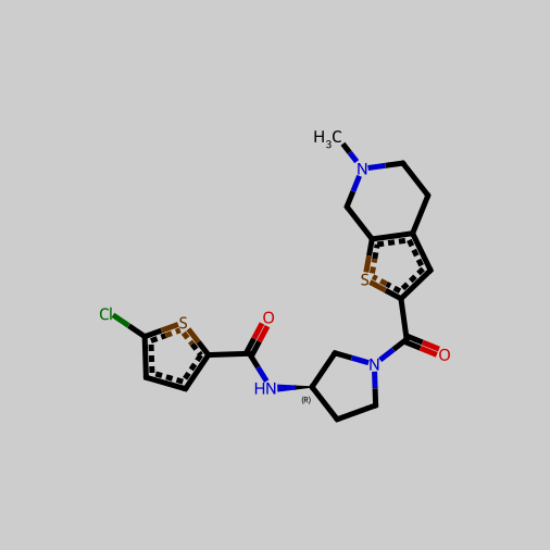 CN1CCc2cc(C(=O)N3CC[C@@H](NC(=O)c4ccc(Cl)s4)C3)sc2C1